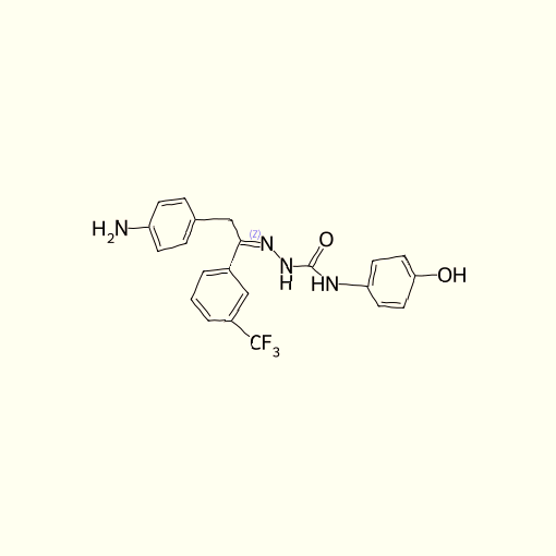 Nc1ccc(C/C(=N/NC(=O)Nc2ccc(O)cc2)c2cccc(C(F)(F)F)c2)cc1